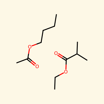 CCCCOC(C)=O.CCOC(=O)C(C)C